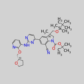 CC(C)(C)OC(=O)N1C[C@](C)(CO[Si](C)(C)C(C)(C)C)c2cc(-c3ccnc(Nc4cccnc4OC[C@@H]4CCCO4)n3)cc(C#N)c21